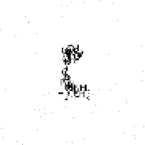 CC(C)[C@H](N)c1nc(-c2ccc(OCCCN3CCCN(C(=O)[C@H](C)NC(=O)c4ccco4)CC3)cc2F)no1